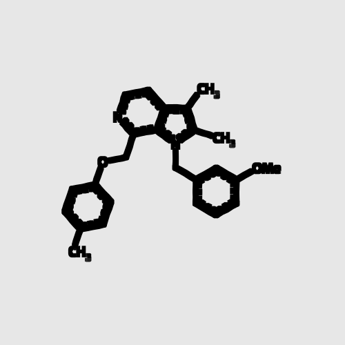 COc1cccc(Cn2c(C)c(C)c3ccnc(COc4ccc(C)cc4)c32)c1